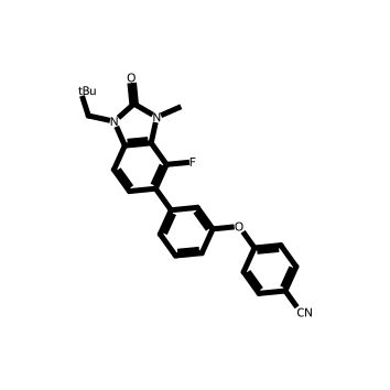 Cn1c(=O)n(CC(C)(C)C)c2ccc(-c3cccc(Oc4ccc(C#N)cc4)c3)c(F)c21